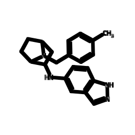 Cc1ccc(CN2C3CCC2C(Nc2ccc4[nH]ncc4c2)C3)cc1